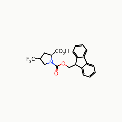 O=C(O)[C@@H]1CC(C(F)(F)F)CN1C(=O)OCC1c2ccccc2-c2ccccc21